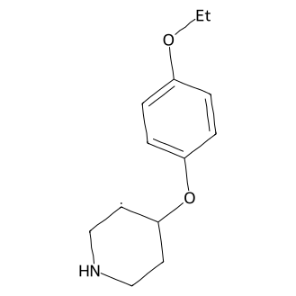 CCOc1ccc(OC2[CH]CNCC2)cc1